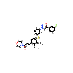 O=C(CNc1cccc(Sc2ccc(C=CC(=O)N3CCOCC3)c(C(F)(F)F)c2C(F)(F)F)c1)c1cccc(F)c1